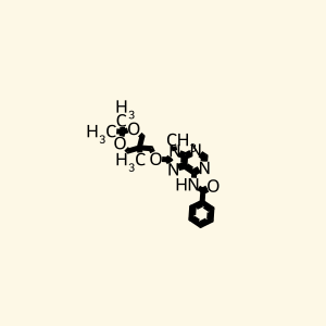 Cn1c(OCC2(C)COC(C)(C)OC2)nc2c(NC(=O)c3ccccc3)ncnc21